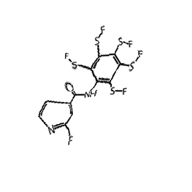 O=C(Nc1c(SF)c(SF)c(SF)c(SF)c1SF)c1ccnc(F)c1